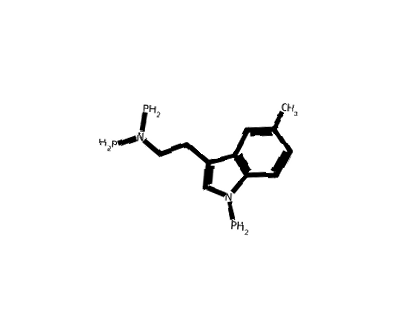 Cc1ccc2c(c1)c(CCN(P)P)cn2P